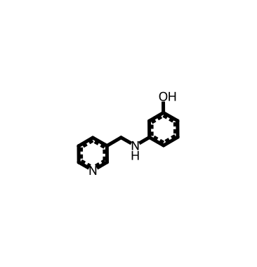 Oc1cccc(NCc2cccnc2)c1